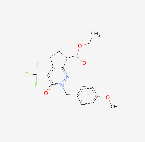 CCOC(=O)C1CCc2c1nn(Cc1ccc(OC)cc1)c(=O)c2C(F)(F)F